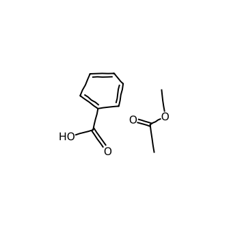 COC(C)=O.O=C(O)c1ccccc1